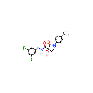 O=C(NCc1cc(F)cc(Cl)c1)[C@]1(O)CCN(c2ccc(C(F)(F)F)cc2)C1=O